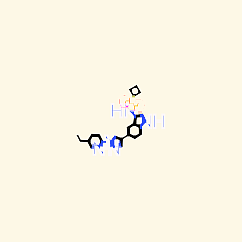 CCc1ccc(-n2cc(-c3ccc4[nH]cc(NS(=O)(=O)C5CCC5)c4c3)cn2)nc1